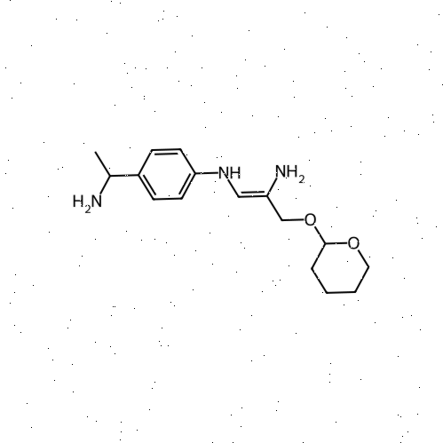 CC(N)c1ccc(N/C=C(\N)COC2CCCCO2)cc1